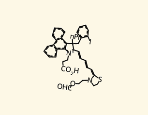 CCCC1(Cc2ccccc2I)C(/C=C/C=C/C=C2/SCCN2CCOC=O)=[N+](CCC(=O)O)c2c1c1ccccc1c1ccccc21